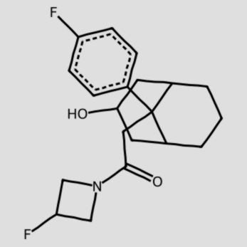 O=C(CC1(c2ccc(F)cc2)C2CCCC1CC(O)C2)N1CC(F)C1